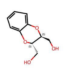 OC[C@@H]1Oc2ccccc2O[C@H]1CO